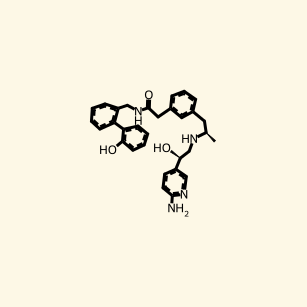 C[C@H](Cc1cccc(CC(=O)NCc2ccccc2-c2ccccc2O)c1)NC[C@H](O)c1ccc(N)nc1